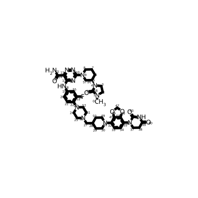 CN1CCN([C@@H]2CCCN(c3nnc(C(N)=O)c(Nc4ccc(N5CCN(CC6CCN(c7ccc(N8CCC(=O)NC8=O)c8c7OCO8)CC6)CC5)c(F)c4)n3)C2)C1=O